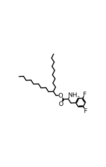 CCCCCCCCCC(CCCCCCCCC)COC(=O)[C@@H](N)Cc1cc(F)cc(F)c1